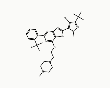 CN1CCN(CCOc2nc(-c3ccccc3C(F)(F)F)cc3nc(-c4c(Cl)c(C(C)(C)C)nn4C)[nH]c23)CC1